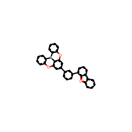 c1cc(-c2cc3c4c(c2)Oc2ccccc2B4c2ccccc2O3)cc(-c2cccc3c2oc2ccccc23)c1